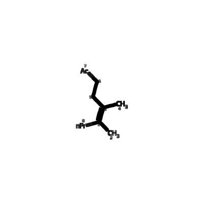 CCCC(C)=C(C)CCC(C)=O